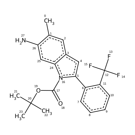 Cc1cc2cc(-c3ccccc3C(F)(F)F)n(C(=O)OC(C)(C)C)c2cc1N